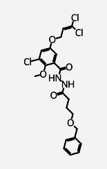 COc1c(Cl)cc(OCC=C(Cl)Cl)cc1C(=O)NNC(=O)CCCOCc1ccccc1